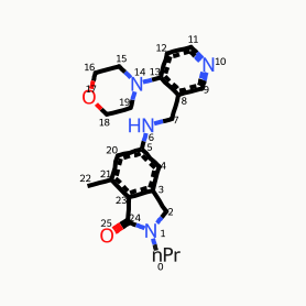 CCCN1Cc2cc(NCc3cnccc3N3CCOCC3)cc(C)c2C1=O